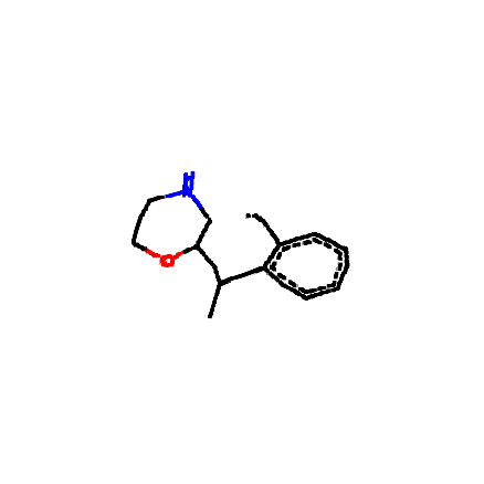 [CH2]c1ccccc1C(C)C1CNCCO1